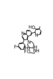 Cc1ccnc(-c2ccc3ncc(-c4cc(F)cc(F)c4)c(N4CC[C@H]5NCCO[C@@H]5C4)c3c2)c1O